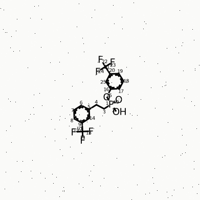 O=P(O)(CCc1cccc(C(F)(F)F)c1)Oc1cccc(C(F)(F)F)c1